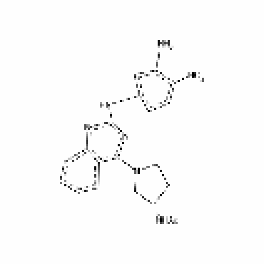 CC(=O)N[C@H]1CCN(c2nc(Nc3ccc([N+](=O)[O-])c(N)c3)nc3ccccc23)C1